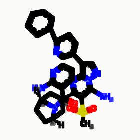 CS(=O)(=O)c1c([C@@H]2C[C@H]3CC[C@@H](C2)N3C(=O)c2cccnc2N)nc2c(-c3ccc(-c4ccccc4)nc3)cnn2c1N